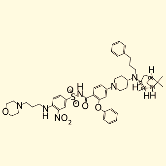 C[C@H]1[C@@H](N(CCCc2ccccc2)C2CCN(c3ccc(C(=O)NS(=O)(=O)c4ccc(NCCCN5CCOCC5)c([N+](=O)[O-])c4)c(Oc4ccccc4)c3)CC2)C[C@@H]2C[C@@H]1C2(C)C